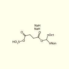 CCCCCCCCCC(CCCCCCCC)OC(=O)CCC(=O)OS(=O)(=O)O.[NaH].[NaH]